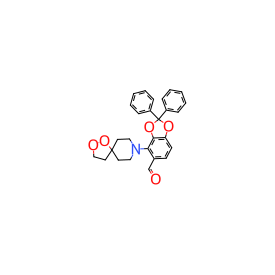 O=Cc1ccc2c(c1N1CCC3(CCOO3)CC1)OC(c1ccccc1)(c1ccccc1)O2